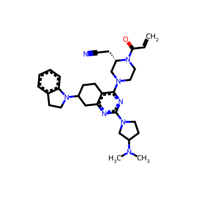 C=CC(=O)N1CCN(c2nc(N3CCC(N(C)C)C3)nc3c2CCC(N2CCc4ccccc42)C3)C[C@@H]1CC#N